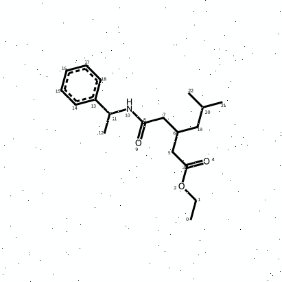 CCOC(=O)CC(CC(=O)NC(C)c1ccccc1)CC(C)C